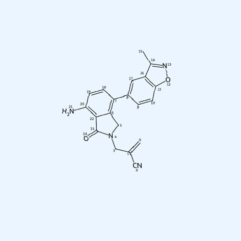 C=C(C#N)CN1Cc2c(-c3ccc4onc(C)c4c3)ccc(N)c2C1=O